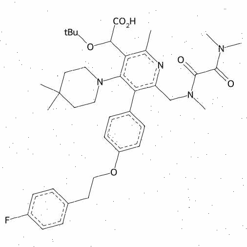 Cc1nc(CN(C)C(=O)C(=O)N(C)C)c(-c2ccc(OCCc3ccc(F)cc3)cc2)c(N2CCC(C)(C)CC2)c1C(OC(C)(C)C)C(=O)O